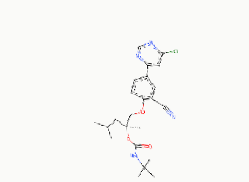 CC(C)C[C@@](C)(COc1ccc(-c2cc(Cl)ncn2)cc1C#N)OC(=O)NC(C)(C)C